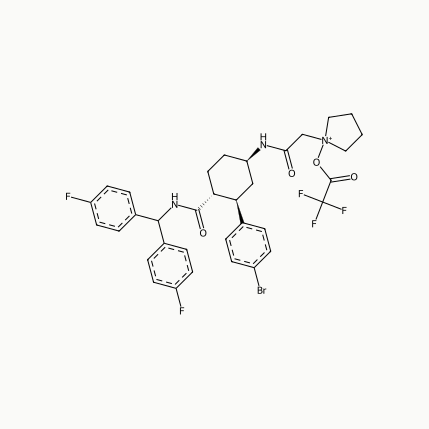 O=C(C[N+]1(OC(=O)C(F)(F)F)CCCC1)N[C@@H]1CC[C@@H](C(=O)NC(c2ccc(F)cc2)c2ccc(F)cc2)[C@H](c2ccc(Br)cc2)C1